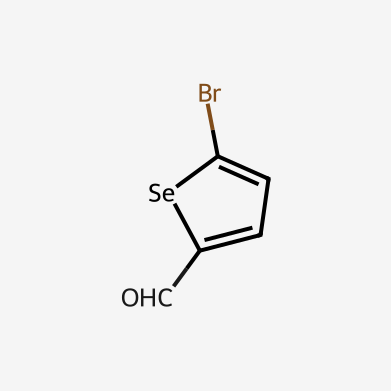 O=Cc1ccc(Br)[se]1